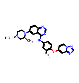 Cc1cc(Nc2ncnc3ccc(N4CCN(C(=O)O)C[C@@H]4C)cc23)ccc1Oc1ccn2ncnc2c1